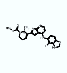 C[C@@H]1C(c2cc3c(Nc4ccc5c(c4F)NCS5)ccnc3s2)=CCCN1C(=O)OC(C)(C)C